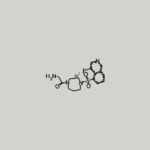 C[C@H]1CN(C(=O)CN)CCCN1S(=O)(=O)c1cccc2cncc(F)c12